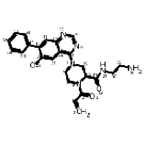 C=CC(=O)N1CCN(c2ncnc3cc(-c4ccccc4)c(Cl)cc23)CC1C(=O)NCCN